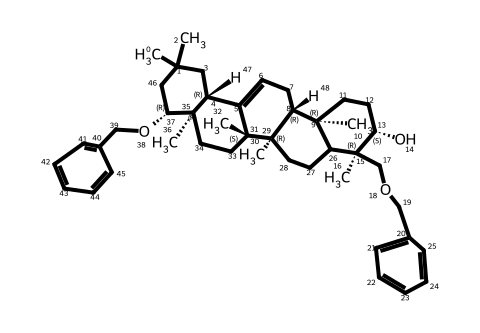 CC1(C)C[C@@H]2C3=CC[C@@H]4[C@@]5(C)CC[C@H](O)[C@@](C)(COCc6ccccc6)C5CC[C@@]4(C)[C@]3(C)CC[C@@]2(C)[C@H](OCc2ccccc2)C1